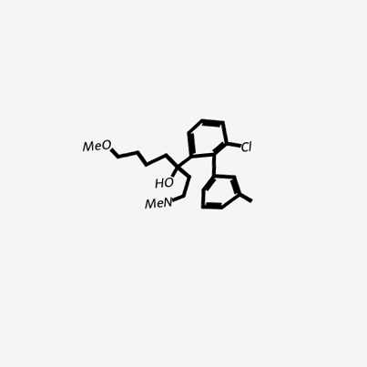 CNCCC(O)(CCCCOC)c1cccc(Cl)c1-c1cccc(C)c1